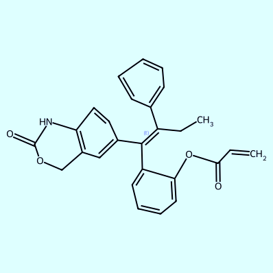 C=CC(=O)Oc1ccccc1/C(=C(\CC)c1ccccc1)c1ccc2c(c1)COC(=O)N2